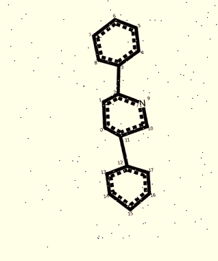 [c]1cc(-c2ccccc2)ncc1-c1ccccc1